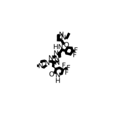 CCn1nccc1C(=O)N[C@H](c1cn2nc(C[C@H]3C[C@@H](C(F)(F)F)CNC3=O)c(N3CCN(C)CC3)nc2n1)C1CCC(F)(F)CC1